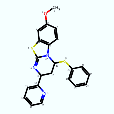 COc1ccc2c(c1)SC1=NC(c3ccccn3)CC(Sc3ccccc3)N12